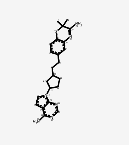 CC1(C)Sc2ccc(CCC3CCC(n4ccc5c(N)ncnc54)C3)cc2N=C1N